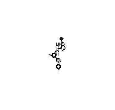 O=C(NCc1cc(F)cc(-c2cnn(-c3ccc(F)cc3)c2)c1)c1ncnc2nc(C34CC(C3)C4)[nH]c12